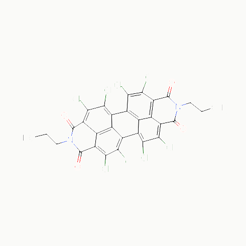 CCCN1C(=O)c2c(Cl)c(Cl)c3c4c(Cl)c(Cl)c5c6c(c(Cl)c(Cl)c(c7c(Cl)c(Cl)c(c2c37)C1=O)c64)C(=O)N(CCC)C5=O